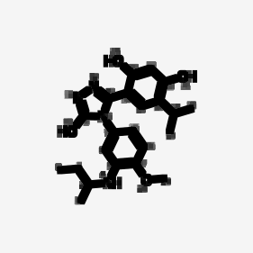 CCC(C)Nc1cc(-n2c(O)nnc2-c2cc(C(C)C)c(O)cc2O)ccc1OC